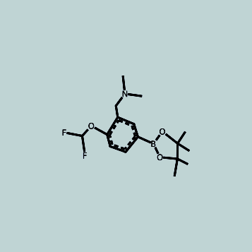 CN(C)Cc1cc(B2OC(C)(C)C(C)(C)O2)ccc1OC(F)F